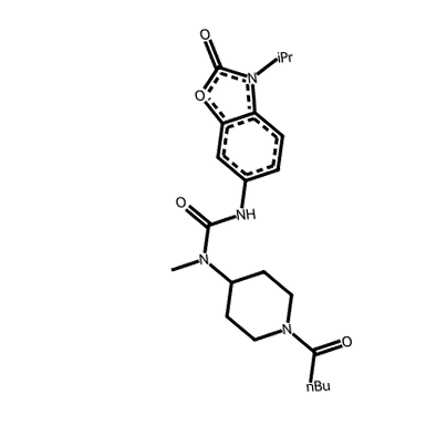 CCCCC(=O)N1CCC(N(C)C(=O)Nc2ccc3c(c2)oc(=O)n3C(C)C)CC1